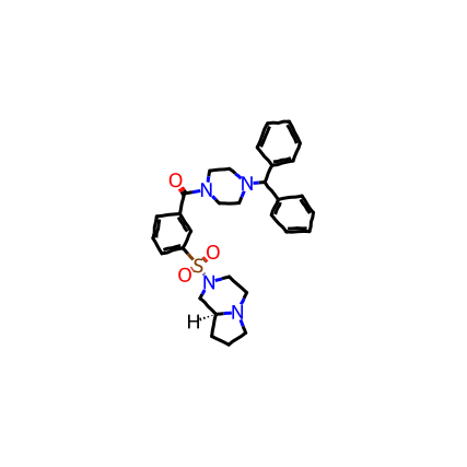 O=C(c1cccc(S(=O)(=O)N2CCN3CCC[C@H]3C2)c1)N1CCN(C(c2ccccc2)c2ccccc2)CC1